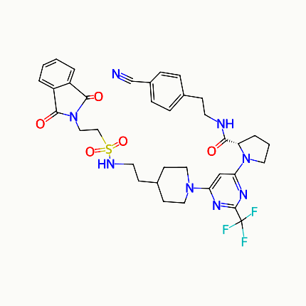 N#Cc1ccc(CCNC(=O)[C@@H]2CCCN2c2cc(N3CCC(CCNS(=O)(=O)CCN4C(=O)c5ccccc5C4=O)CC3)nc(C(F)(F)F)n2)cc1